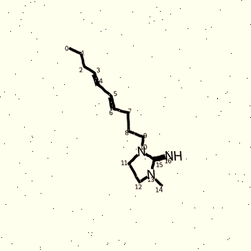 CCC/C=C/C=C/CCCN1CCN(C)C1=N